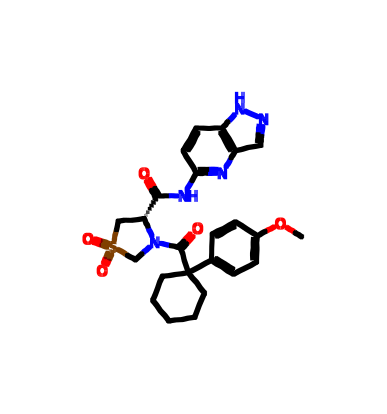 COc1ccc(C2(C(=O)N3CS(=O)(=O)C[C@@H]3C(=O)Nc3ccc4[nH]ncc4n3)CCCCC2)cc1